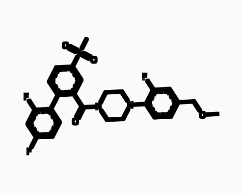 COCc1ccc(N2CCN(C(=O)c3cc(S(C)(=O)=O)ccc3-c3ccc(F)cc3F)CC2)c(F)c1